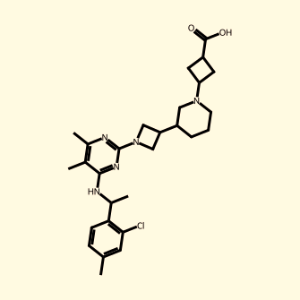 Cc1ccc(C(C)Nc2nc(N3CC(C4CCCN(C5CC(C(=O)O)C5)C4)C3)nc(C)c2C)c(Cl)c1